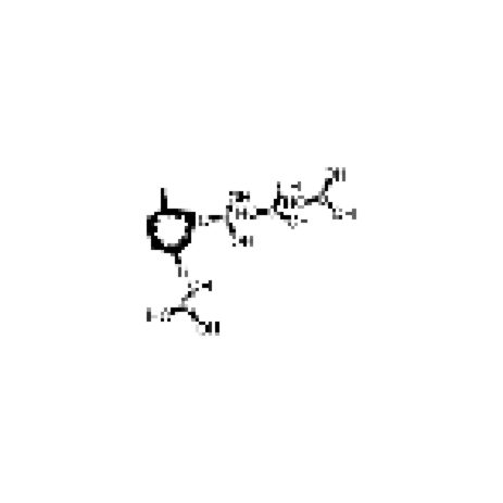 OB(O)O.OB(O)O.OB(O)O.OB(O)O.[Li][c]1ccc(C)cc1